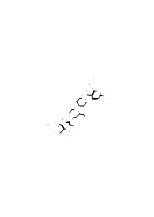 CCC1CN(c2nc(N)c(C(=O)OC)nc2Cl)CCN1C1CCN(C(=O)c2ccc(Cl)nc2N)CC1